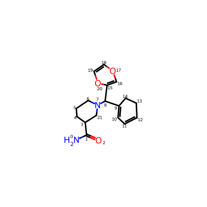 NC(=O)C1CCCN(C(C2=CC=CCC2)C2=COC=CO2)C1